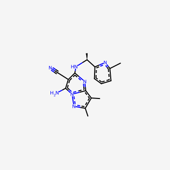 Cc1cccc([C@H](C)Nc2nc3c(C)c(C)nn3c(N)c2C#N)n1